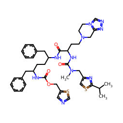 CC(C)c1nc(CN(C)C(=O)NC(CCN2CCn3cnnc3C2)C(=O)NC(CCC(Cc2ccccc2)NC(=O)OCc2cncs2)Cc2ccccc2)cs1